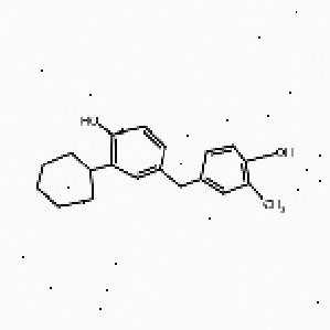 Cc1cc(Cc2ccc(O)c(C3CCCCC3)c2)ccc1O